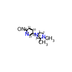 CN1CC2CC1(C)CN2c1ccc(N=O)nc1